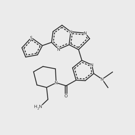 CN(C)c1cc(C(=O)N2CCCCC2CN)cc(-c2cnn3ccc(-c4cccs4)nc23)n1